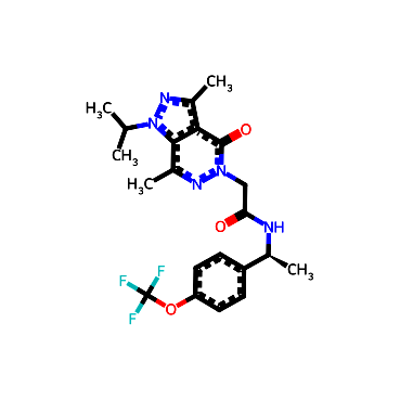 Cc1nn(C(C)C)c2c(C)nn(CC(=O)N[C@@H](C)c3ccc(OC(F)(F)F)cc3)c(=O)c12